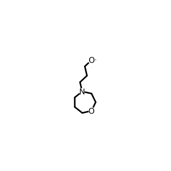 [O]CCCN1CCCOCC1